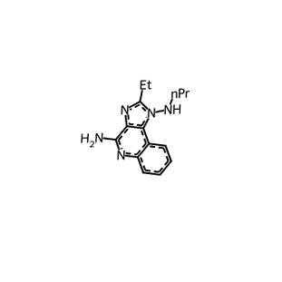 [CH2]CCNn1c(CC)nc2c(N)nc3ccccc3c21